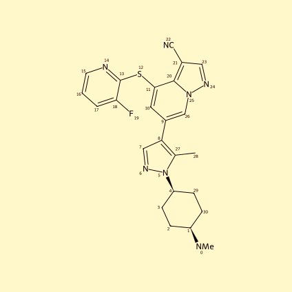 CN[C@H]1CC[C@@H](n2ncc(-c3cc(Sc4ncccc4F)c4c(C#N)cnn4c3)c2C)CC1